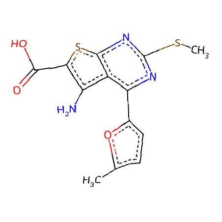 CSc1nc(-c2ccc(C)o2)c2c(N)c(C(=O)O)sc2n1